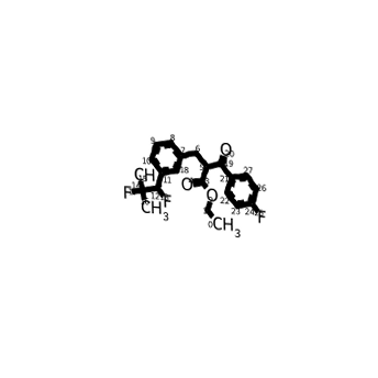 CCOC(=O)C(Cc1cccc(C(F)C(C)(C)F)c1)C(=O)c1ccc(F)cc1